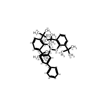 CC(C)(C)c1cccc(C(C)(C)C)c1OP(Oc1c(C(C)(C)C)cccc1C(C)(C)C)c1cccc(-c2ccccc2)c1